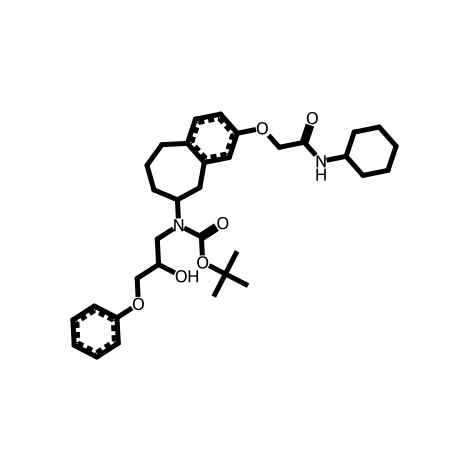 CC(C)(C)OC(=O)N(CC(O)COc1ccccc1)C1CCCc2ccc(OCC(=O)NC3CCCCC3)cc2C1